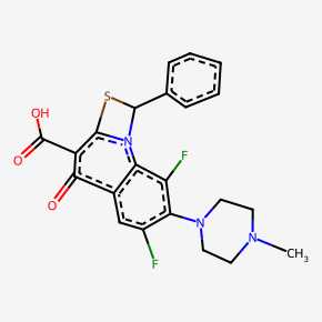 CN1CCN(c2c(F)cc3c(=O)c(C(=O)O)c4n(c3c2F)C(c2ccccc2)S4)CC1